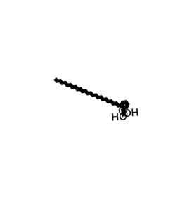 CCCCCCCCCCCCCCCCCCCCCCCCCCc1ccccc1OP(O)O